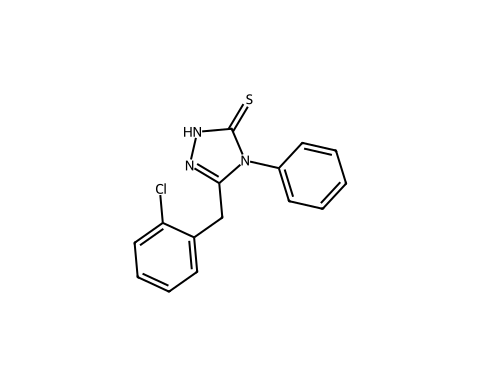 S=c1[nH]nc(Cc2ccccc2Cl)n1-c1ccccc1